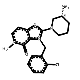 Cn1ccc2nc(N3CCC[C@@H](N)C3)n(Cc3ccccc3Cl)c2c1=O